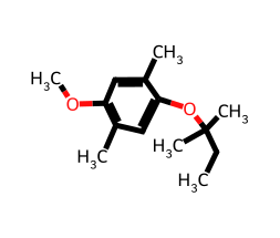 CCC(C)(C)Oc1cc(C)c(OC)cc1C